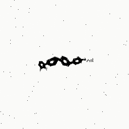 CCCCCOc1ccc(-c2ccc(-c3ccc(-c4cccc(F)c4F)cc3)cc2)cc1